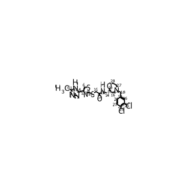 Cc1nnc(-c2csc(SCC(=O)NC[C@H]3CN(Cc4ccc(Cl)c(Cl)c4)CCO3)n2)[nH]1